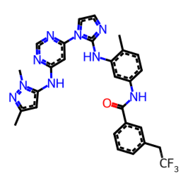 Cc1cc(Nc2cc(-n3ccnc3Nc3cc(NC(=O)c4cccc(CC(F)(F)F)c4)ccc3C)ncn2)n(C)n1